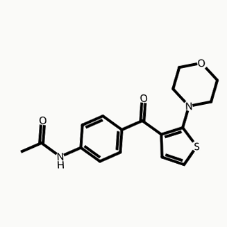 CC(=O)Nc1ccc(C(=O)c2ccsc2N2CCOCC2)cc1